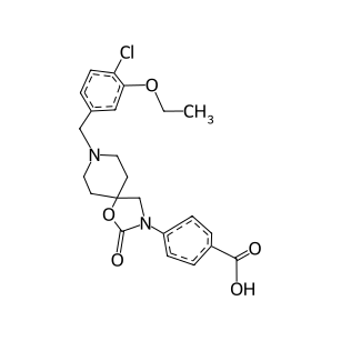 CCOc1cc(CN2CCC3(CC2)CN(c2ccc(C(=O)O)cc2)C(=O)O3)ccc1Cl